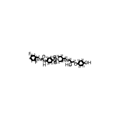 O=C(NCc1cc(F)ccc1F)Nc1ccc(S(=O)(=O)N2CCC(CNC[C@H](O)COc3ccc(O)cc3)CC2)cc1